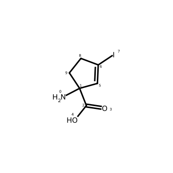 NC1(C(=O)O)C=C(I)CC1